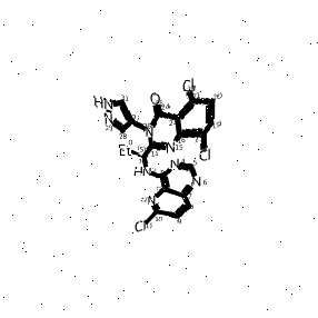 CC[C@H](Nc1ncnc2ccc(Cl)nc12)c1nc2c(Cl)ccc(Cl)c2c(=O)n1-c1cn[nH]c1